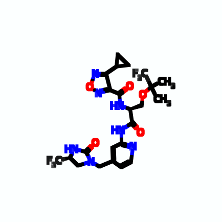 CC(C)(OC[C@H](NC(=O)c1nonc1C1CC1)C(=O)Nc1cc(CN2C[C@@H](C(F)(F)F)NC2=O)ccn1)C(F)(F)F